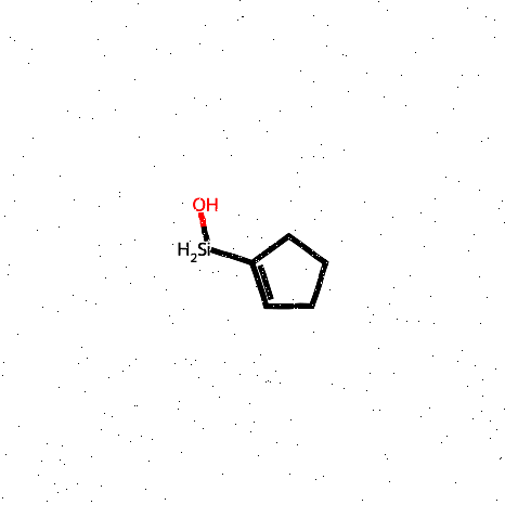 O[SiH2]C1=CCCC1